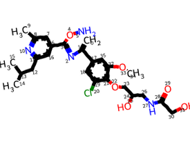 C=C(/N=C(\ON)c1cc(C)nc(CC(C)C)c1)c1cc(Cl)c(OCC(O)CNC(=O)CO)c(OC)c1